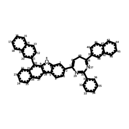 C1=C(c2ccc3c(c2)oc2c(-c4ccc5ccccc5c4)c4ccccc4cc23)N=C(c2ccccc2)N=C(c2ccc3ccccc3c2)C1